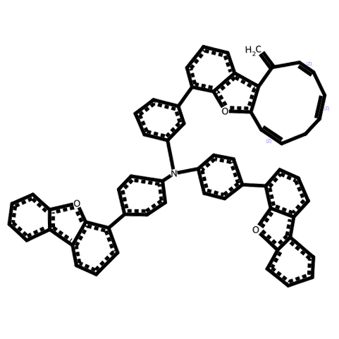 C=C1/C=C\C=C/C/C=C\c2oc3c(-c4cccc(N(c5ccc(-c6cccc7c6oc6ccccc67)cc5)c5ccc(-c6cccc7c6oc6ccccc67)cc5)c4)cccc3c21